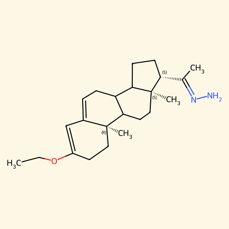 CCOC1=CC2=CCC3C(CC[C@@]4(C)C3CC[C@@H]4C(C)=NN)[C@@]2(C)CC1